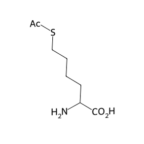 CC(=O)SCCCCC(N)C(=O)O